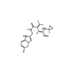 C=N/C(NC1(C)CC1)=C(\C)C(C(=C)N(C)CC1=CC2CC(F)=CC=C2N1)=C(C)C